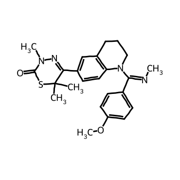 C/N=C(/c1ccc(OC)cc1)N1CCCc2cc(C3=NN(C)C(=O)SC3(C)C)ccc21